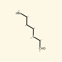 CCCCCCCSC[C]=O